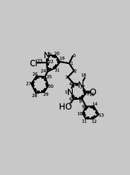 CC(CCc1nc(O)c(-c2ccccc2)c(=O)n1C)c1cnc(Cl)c(-c2ccccc2)c1